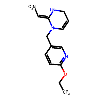 O=[N+]([O-])C=C1NCC=CN1Cc1ccc(OCC(F)(F)F)nc1